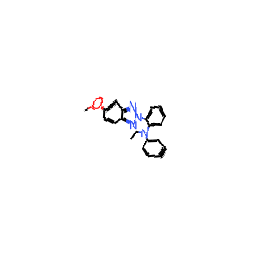 CCN(c1ccccc1)c1ccccc1-n1nc2ccc(OC)cc2n1